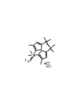 CC1=[C]([Ti]([CH3])([CH3])(=[SiH2])[C]2=C(C)C=C(C(C)(C)C)C2)CC(C(C)(C)C)=C1.Cl.Cl